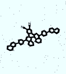 N#Cc1cc2c(cc1C#N)c1cc(-c3ccc(-c4ccc5ccccc5c4)cc3)c3ccccc3c1c1c3ccccc3c(-c3ccc(-c4ccc5ccccc5c4)cc3)cc21